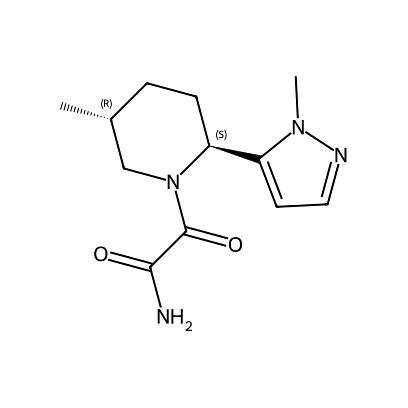 C[C@@H]1CC[C@@H](c2ccnn2C)N(C(=O)C(N)=O)C1